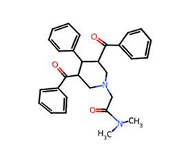 CN(C)C(=O)CN1CC(C(=O)c2ccccc2)C(c2ccccc2)C(C(=O)c2ccccc2)C1